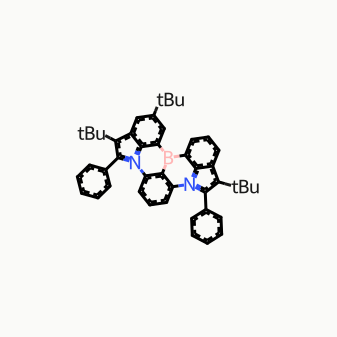 CC(C)(C)c1cc2c3c(c1)c(C(C)(C)C)c(-c1ccccc1)n3-c1cccc3c1B2c1cccc2c(C(C)(C)C)c(-c4ccccc4)n-3c12